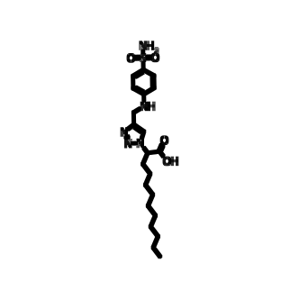 CCCCCCCCCCC(C(=O)O)n1cc(CNc2ccc(S(N)(=O)=O)cc2)nn1